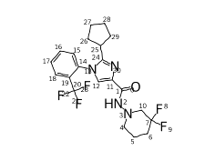 O=C(NN1CCCC(F)(F)C1)c1cn(-c2ccccc2C(F)(F)F)c(C2CCCC2)n1